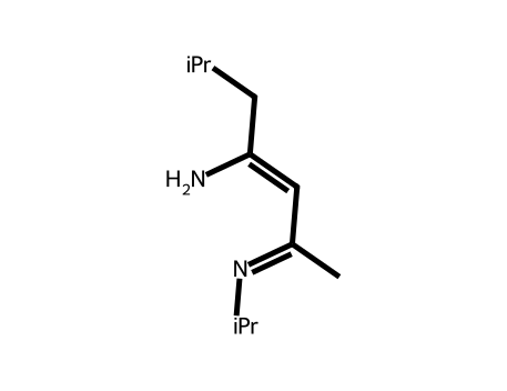 CC(C=C(N)CC(C)C)=NC(C)C